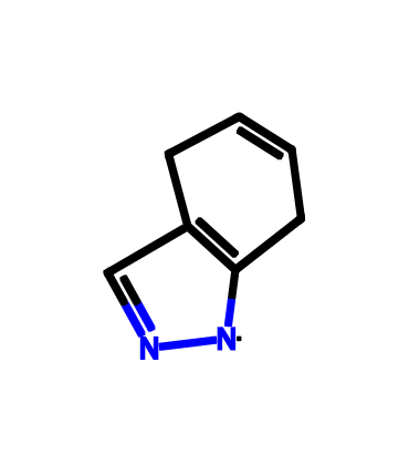 C1=CCC2=C(C=N[N]2)C1